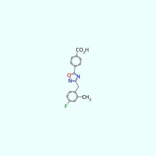 Cc1cc(F)ccc1Cc1noc(-c2ccc(C(=O)O)cc2)n1